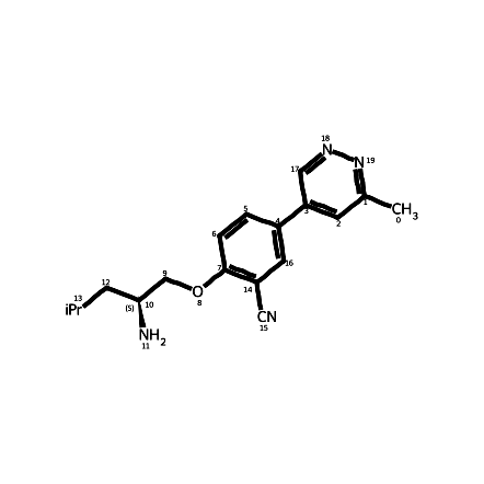 Cc1cc(-c2ccc(OC[C@@H](N)CC(C)C)c(C#N)c2)cnn1